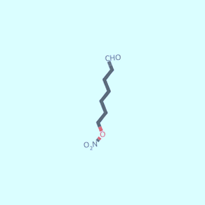 O=CCCCCCCO[N+](=O)[O-]